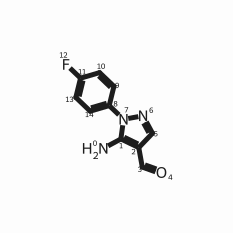 Nc1c(C=O)cnn1-c1ccc(F)cc1